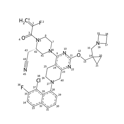 C=C(F)C(=O)N1CCN(c2nc(OCC3(CN4CCC4)CC3)nc3c2CCN(c2cccc4ccc(F)c(Cl)c24)C3)C[C@@H]1CC#N